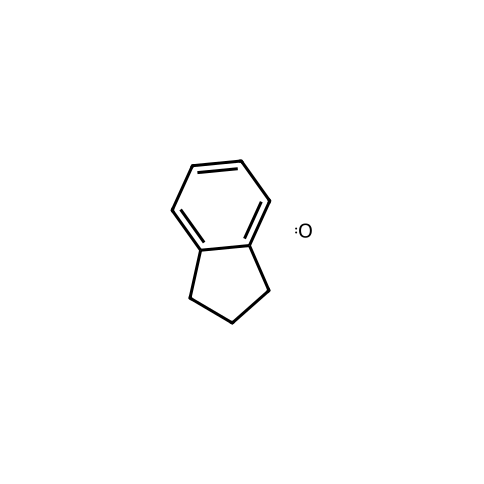 [O].c1ccc2c(c1)CCC2